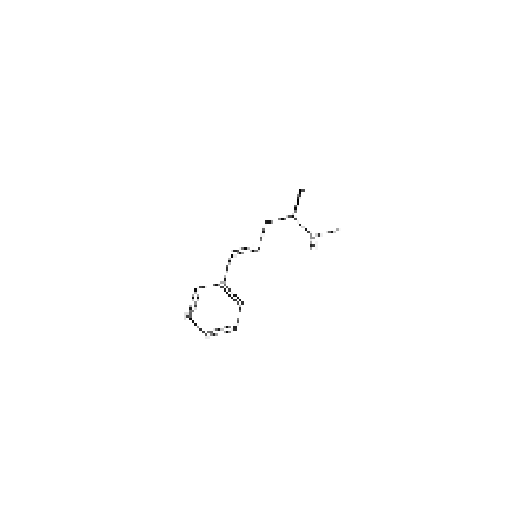 CN[C@H](C)CC=Cc1cccnc1